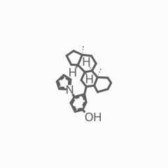 C[C@@]12CCC[C@H]1[C@@H]1CC(c3cc(O)ccc3-n3cccc3)C3CCCC[C@]3(C)[C@@H]1CC2